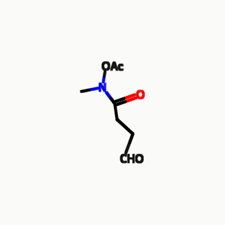 CC(=O)ON(C)C(=O)CCC=O